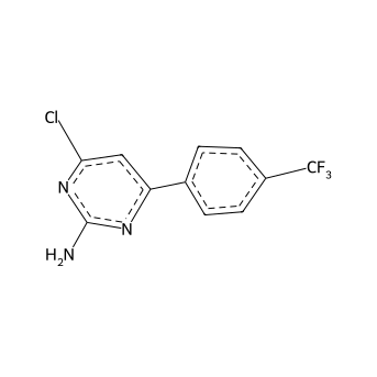 Nc1nc(Cl)cc(-c2ccc(C(F)(F)F)cc2)n1